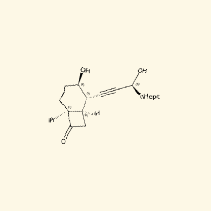 CCCCCCC[C@H](O)C#C[C@H]1[C@H](O)CC[C@]2(C(C)C)C(=O)C[C@H]12